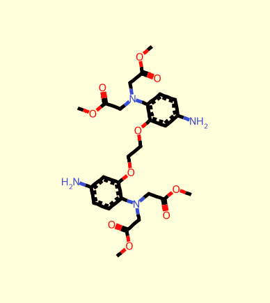 COC(=O)CN(CC(=O)OC)c1ccc(N)cc1OCCOc1cc(N)ccc1N(CC(=O)OC)CC(=O)OC